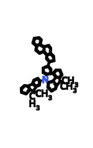 CC1(C)c2ccccc2-c2ccc(N(c3ccc(-c4ccc5ccc6c7ccccc7ccc6c5c4)cc3)c3cccc4c3-c3ccccc3C4(C)C)cc21